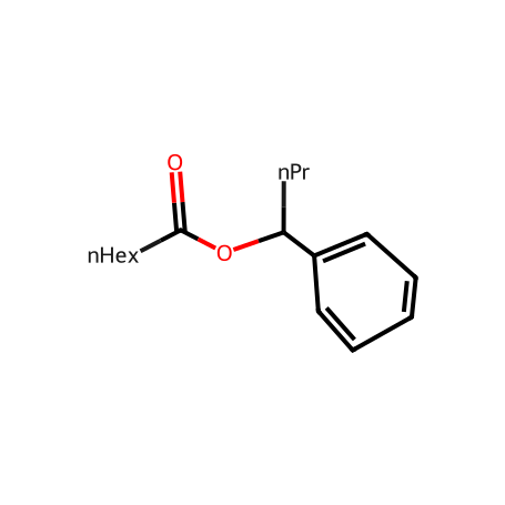 CCCCCCC(=O)OC(CCC)c1ccccc1